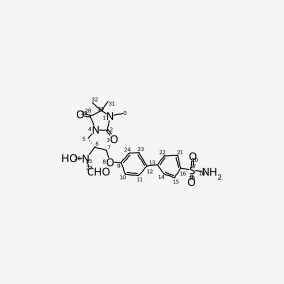 CN1C(=O)N(C[C@H](COc2ccc(-c3ccc(S(N)(=O)=O)cc3)cc2)N(O)C=O)C(=O)C1(C)C